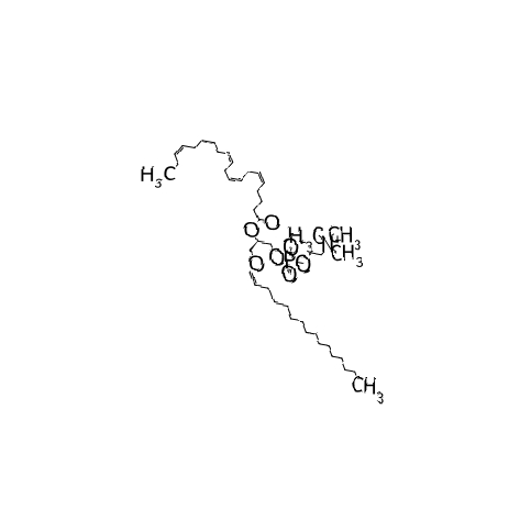 CC/C=C\C/C=C\C/C=C\C/C=C\C/C=C\CCCC(=O)O[C@H](CO/C=C\CCCCCCCCCCCCCC)COP(=O)([O-])OCC[N+](C)(C)C